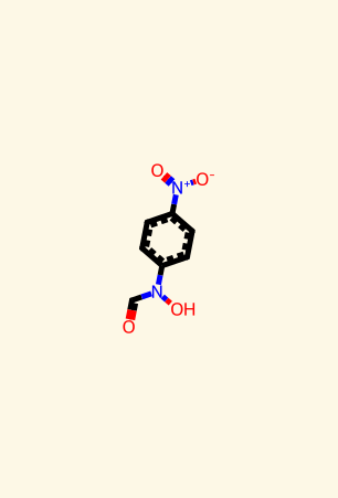 O=CN(O)c1ccc([N+](=O)[O-])cc1